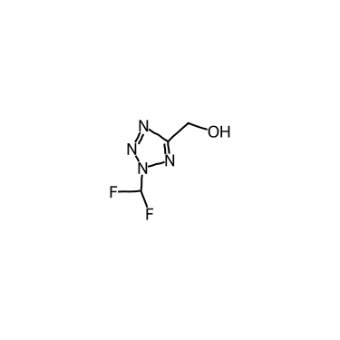 OCc1nnn(C(F)F)n1